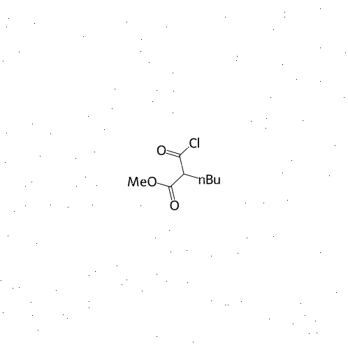 CCCCC(C(=O)Cl)C(=O)OC